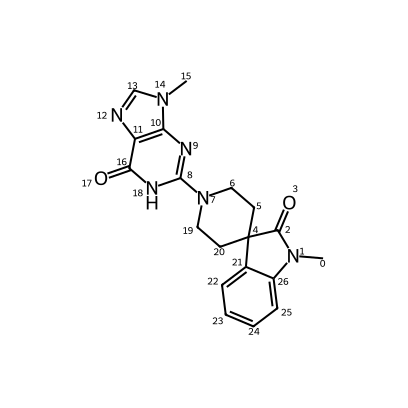 CN1C(=O)C2(CCN(c3nc4c(ncn4C)c(=O)[nH]3)CC2)c2ccccc21